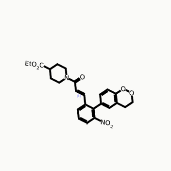 CCOC(=O)C1CCN(C(=O)/C=C/c2cc[c]c([N+](=O)[O-])c2-c2ccc3c(c2)CCOO3)CC1